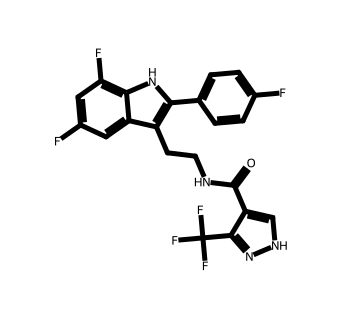 O=C(NCCc1c(-c2ccc(F)cc2)[nH]c2c(F)cc(F)cc12)c1c[nH]nc1C(F)(F)F